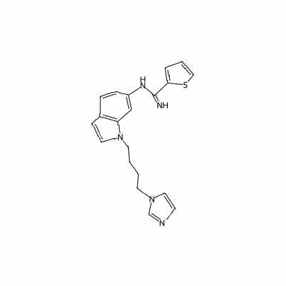 N=C(Nc1ccc2ccn(CCCCn3ccnc3)c2c1)c1cccs1